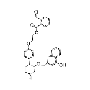 O=C(OCCOc1ccc(C2CCNCC2OCc2cc(O)c3ccccc3c2)cc1)c1ccccc1CCl